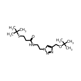 CC(C)(C)OCc1cn(CCNC(=O)CCSC(C)(C)C)nn1